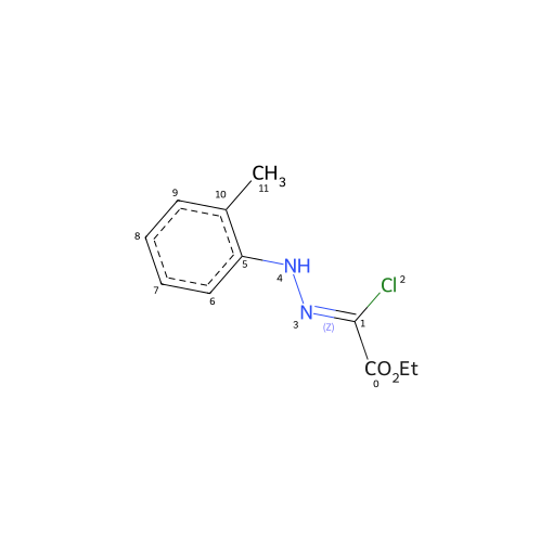 CCOC(=O)/C(Cl)=N/Nc1ccccc1C